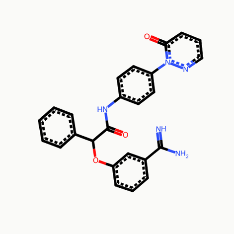 N=C(N)c1cccc(OC(C(=O)Nc2ccc(-n3ncccc3=O)cc2)c2ccccc2)c1